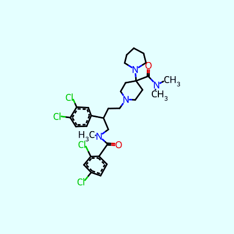 CN(C)C(=O)C1(N2CCCCC2)CCN(CCC(CN(C)C(=O)c2ccc(Cl)cc2Cl)c2ccc(Cl)c(Cl)c2)CC1